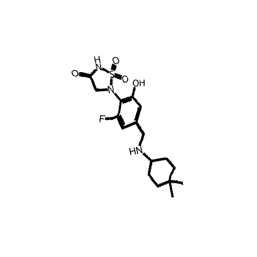 CC1(C)CCC(NCc2cc(O)c(N3CC(=O)NS3(=O)=O)c(F)c2)CC1